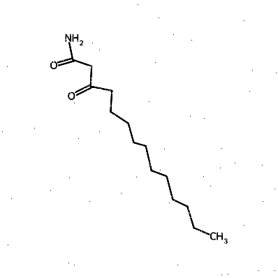 CCCCCCCCCCCC(=O)CC(N)=O